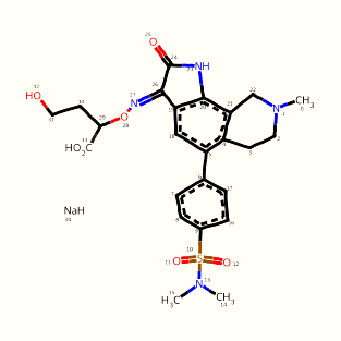 CN1CCc2c(-c3ccc(S(=O)(=O)N(C)C)cc3)cc3c(c2C1)NC(=O)/C3=N/OC(CCO)C(=O)O.[NaH]